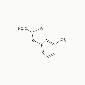 Cc1cccc(OC(C(=O)O)C(C)C)c1